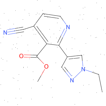 CCn1cc(-c2nccc(C#N)c2C(=O)OC)cn1